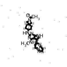 CNc1nc(NC2CCC3(CC2)CN(C(C)=O)C3)nc2[nH]cc(-c3ccn4nccc4n3)c12